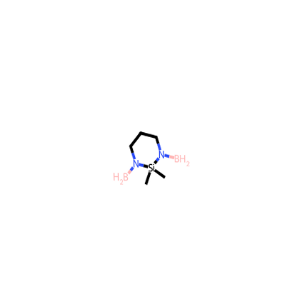 BN1CCCN(B)[Si]1(C)C